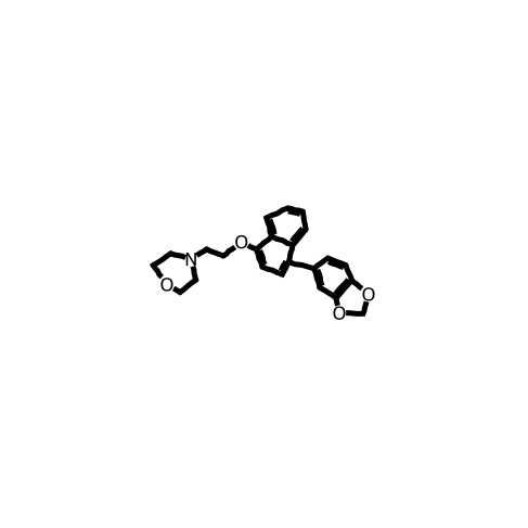 c1ccc2c(-c3ccc4c(c3)OCO4)ccc(OCCN3CCOCC3)c2c1